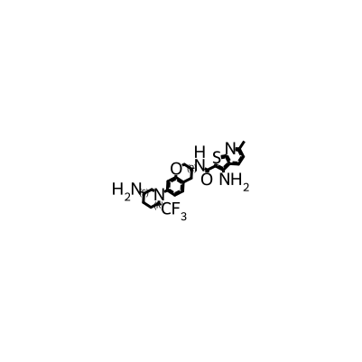 Cc1ccc2c(N)c(C(=O)N[C@H]3COc4cc(N5C[C@@H](N)CC[C@@H]5C(F)(F)F)ccc4C3)sc2n1